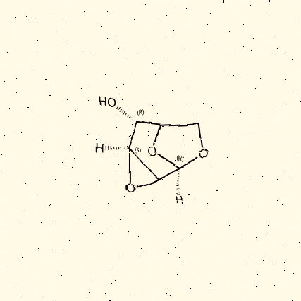 O[C@@H]1C2CO[C@H](O2)C2O[C@H]21